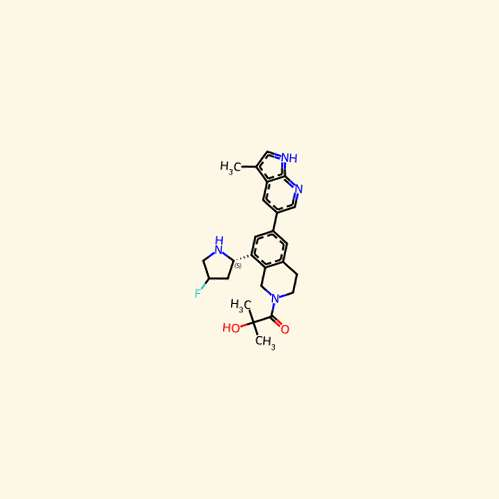 Cc1c[nH]c2ncc(-c3cc4c(c([C@@H]5CC(F)CN5)c3)CN(C(=O)C(C)(C)O)CC4)cc12